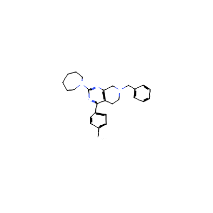 COc1ccc(-c2nc(N3CCCCCC3)nc3c2CCN(Cc2ccccc2)C3)cc1